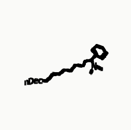 CCCCCCCCCCCCCCCCCCC(c1ccccc1)N(C)C